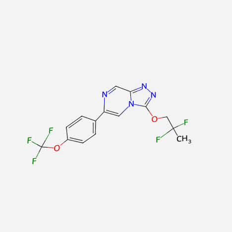 CC(F)(F)COc1nnc2cnc(-c3ccc(OC(F)(F)F)cc3)cn12